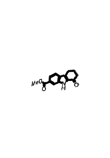 COC(=O)c1ccc2c3c([nH]c2c1)C(=O)CCC3